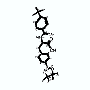 CC(C)(C)c1ccc(C(=O)NC(Cc2ccc(B3OC(C)(C)C(C)(C)O3)cc2)C(=O)O)cc1